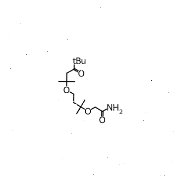 CC(C)(CCOC(C)(C)CC(=O)C(C)(C)C)OCC(N)=O